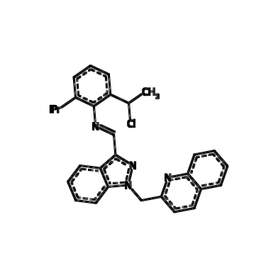 CC(C)c1cccc(C(C)Cl)c1/N=C/c1nn(Cc2ccc3ccccc3n2)c2ccccc12